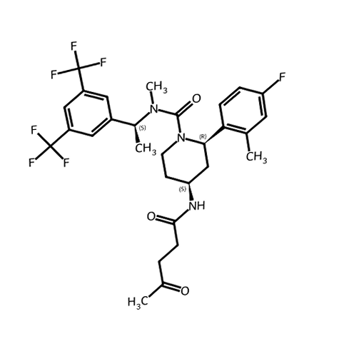 CC(=O)CCC(=O)N[C@H]1CCN(C(=O)N(C)[C@@H](C)c2cc(C(F)(F)F)cc(C(F)(F)F)c2)[C@@H](c2ccc(F)cc2C)C1